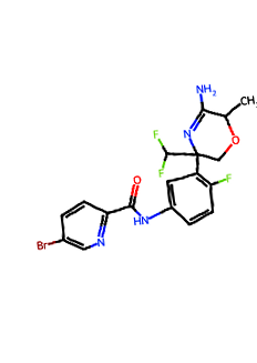 CC1OCC(c2cc(NC(=O)c3ccc(Br)cn3)ccc2F)(C(F)F)N=C1N